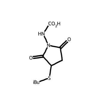 CCC(C)SC1CC(=O)N(NC(=O)O)C1=O